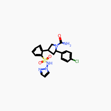 NC(=O)N1CC(c2ccccc2S(=O)(=O)Nn2cccn2)CC1c1ccc(Cl)cc1